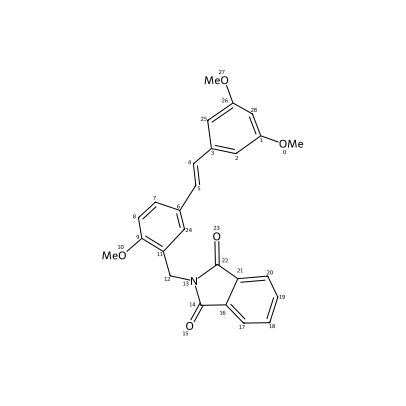 COc1cc(C=Cc2ccc(OC)c(CN3C(=O)c4ccccc4C3=O)c2)cc(OC)c1